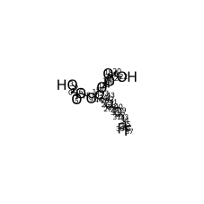 C=C(CO)C(=O)OCCOc1cc(OCCOC(=O)C(=C)CO)cc(-c2ccc(C3CCC(CCC=C(F)F)CC3)cc2C)c1